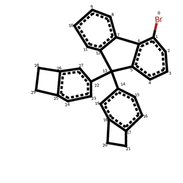 Brc1cccc2c1-c1ccccc1C2(c1ccc2c(c1)CC2)c1ccc2c(c1)CC2